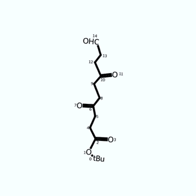 CC(C)(C)OC(=O)CCC(=O)CCC(=O)CCC=O